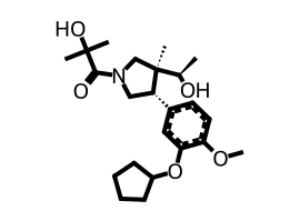 COc1ccc([C@@H]2CN(C(=O)C(C)(C)O)C[C@@]2(C)[C@@H](C)O)cc1OC1CCCC1